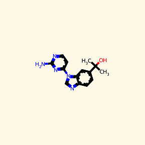 CC(C)(O)c1ccc2ncn(-c3ccnc(N)n3)c2c1